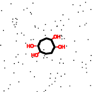 O[C@@H]1CC[C@H](O)[C@H](O)CC[C@@H]1O